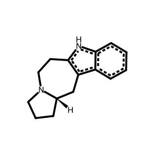 c1ccc2c3c([nH]c2c1)CCN1CCC[C@H]1C3